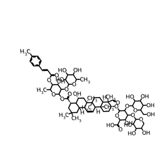 Cc1ccc(/C=C/C(=O)OC2C(C)OC(OC(=O)[C@@H]3CC(C)(C)C[C@@H]4C3[C@H](O)C[C@]3(C)C4C=C[C@@H]4[C@@]5(C)CC[C@H](OC6OC(C(=O)O)C(O)C(OC7OCC(O)C(O)C7O)C6OC6OC(CO)C(O)C(O)C6O)[C@@](C)(C=O)[C@@H]5CC[C@]43C)C(OC3OC(C)C(O)C(O)C3O)C2O)cc1